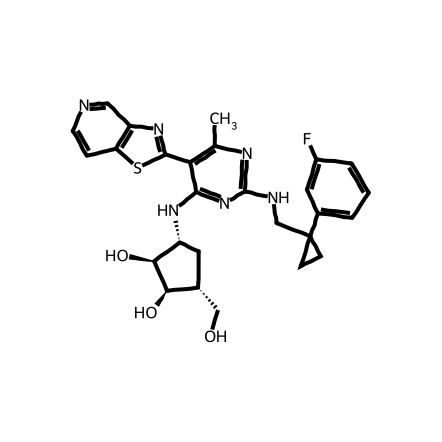 Cc1nc(NCC2(c3cccc(F)c3)CC2)nc(N[C@@H]2C[C@H](CO)[C@@H](O)[C@H]2O)c1-c1nc2cnccc2s1